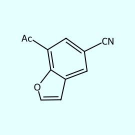 CC(=O)c1cc(C#N)cc2ccoc12